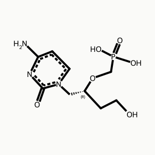 Nc1ccn(C[C@@H](CCO)OCP(=O)(O)O)c(=O)n1